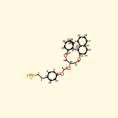 PCCc1ccc(OCOC2COc3ccc4ccccc4c3-c3c(ccc4ccccc34)OC2)cc1